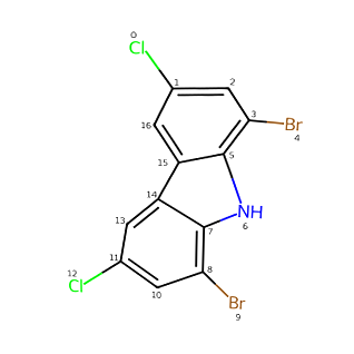 Clc1cc(Br)c2[nH]c3c(Br)cc(Cl)cc3c2c1